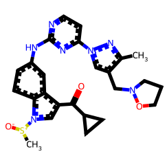 Cc1nn(-c2ccnc(Nc3ccc4c(c3)c(C(=O)C3CC3)cn4[S+](C)[O-])n2)cc1CN1CCCO1